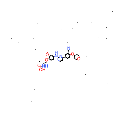 COc1cc(Nc2nccc(-c3ccc(OC4CCOCC4)c(C#N)c3)n2)ccc1OCCNC(=O)O